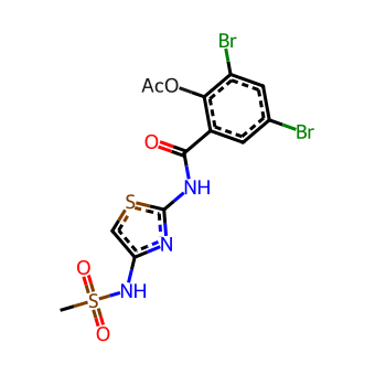 CC(=O)Oc1c(Br)cc(Br)cc1C(=O)Nc1nc(NS(C)(=O)=O)cs1